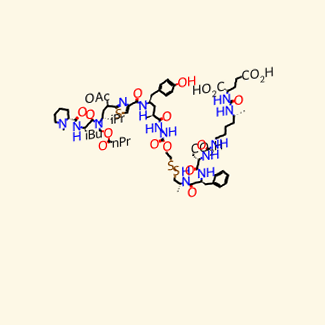 CCCC(=O)OCN(C(=O)[C@@H](NC(=O)[C@H]1CCCCN1C)C(C)CC)[C@H](C[C@@H](OC(C)=O)c1nc(C(=O)N[C@@H](Cc2ccc(O)cc2)C[C@H](C)C(=O)NNC(=O)OCCSSC[C@@H](C)NC(=O)[C@H](Cc2ccccc2)NC(=O)[C@H](CC(=O)O)NC(=O)NCCCC[C@@H](C)NC(=O)N[C@@H](CCC(=O)O)C(=O)O)cs1)C(C)C